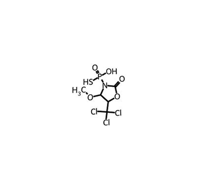 COC1C(C(Cl)(Cl)Cl)OC(=O)N1P(=O)(O)S